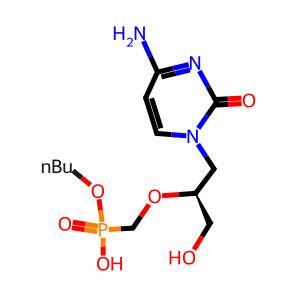 CCCCOP(=O)(O)CO[C@H](CO)Cn1ccc(N)nc1=O